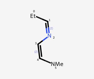 CC/C=N\C=C/NC